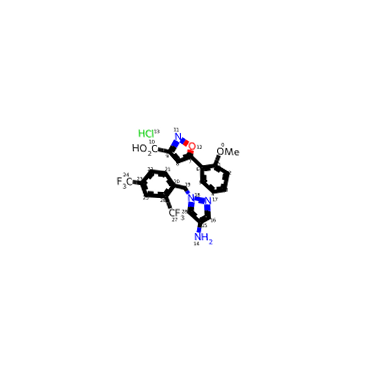 COc1ccccc1-c1cc(C(=O)O)no1.Cl.Nc1cnn(Cc2ccc(C(F)(F)F)cc2C(F)(F)F)c1